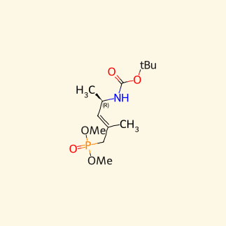 COP(=O)(CC(C)=C[C@@H](C)NC(=O)OC(C)(C)C)OC